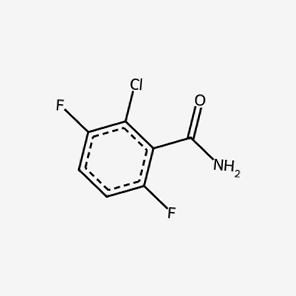 NC(=O)c1c(F)ccc(F)c1Cl